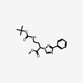 COC(=O)C(CCNC(=O)OC(C)(C)C)n1cnc(-c2ccccc2)n1